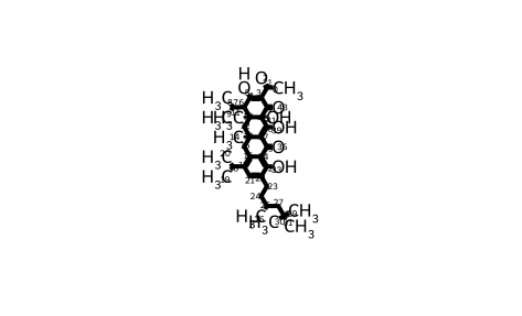 CC(=O)C1=C(O)C(C(C)C)[C@@]2(C)C[C@@]3(C)Cc4c(C(C)C)cc(CCC(C)CC(C)(C)C)c(O)c4C(=O)C3=C(O)[C@@]2(O)C1=O